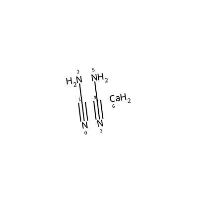 N#CN.N#CN.[CaH2]